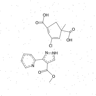 CC1(C(=O)O)C=C(Cl)C=C(C(=O)O)C1.COC(=O)c1c[nH]nc1-c1ccccn1